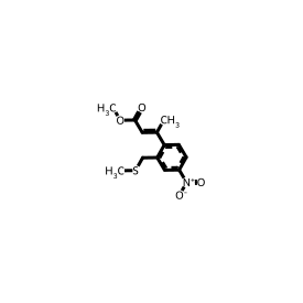 COC(=O)C=C(C)c1ccc([N+](=O)[O-])cc1CSC